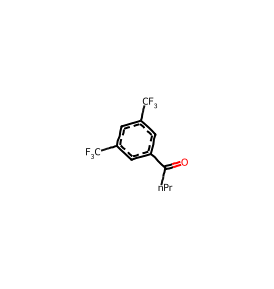 CCCC(=O)c1cc(C(F)(F)F)cc(C(F)(F)F)c1